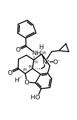 O=C(N[C@@]12CCC(=O)[C@@H]3Oc4c(O)ccc5c4[C@@]31CC[N+]([O-])(CC1CC1)[C@@H]2C5)c1ccccc1